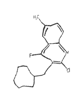 Cc1ccc2nc(Cl)c(CC3CCCCC3)c(F)c2c1